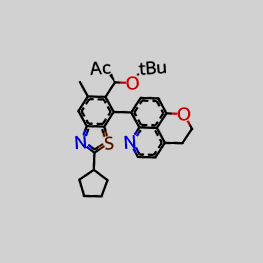 CC(=O)[C@@H](OC(C)(C)C)c1c(C)cc2nc(C3CCCC3)sc2c1-c1ccc2c3c(ccnc13)CCO2